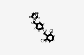 Clc1cccc(Cl)c1COc1ccc(Cn2ccnc2)cc1